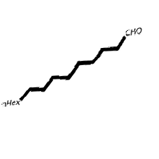 CCCCC[CH]CCCCCCCCC=O